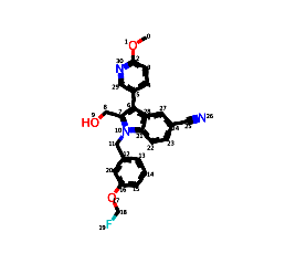 COc1ccc(-c2c(CO)n(Cc3cccc(OCF)c3)c3ccc(C#N)cc23)cn1